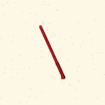 COCCOCCOCCOCCOCCOCCOCCOCCOCCOCCOCCOCCOCCOCCOCCOCCOCCOCCOCCOCCOCCOCCOCCOCCOCCOCCOCCOCCOCCOCCOCCOCCOCCOCCOCCOCCOCCOCCOCCOCCOCCOCCOCCOCCOCCOCCOS(=O)(=O)c1ccc(C)cc1